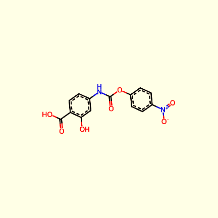 O=C(Nc1ccc(C(=O)O)c(O)c1)Oc1ccc([N+](=O)[O-])cc1